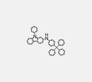 c1ccc(-n2c3ccccc3c3ccc(Nc4ccc(C(c5ccccc5)(c5ccccc5)c5ccccc5)cc4)cc32)cc1